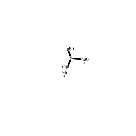 CCCCN(CCCC)CCCC.[Fe]